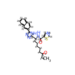 CCC(=O)CCCCCC(NC(=O)c1cncs1)c1nnc(-c2ccc3ccccc3c2)[nH]1